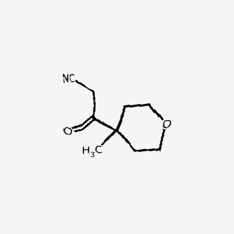 CC1(C(=O)CC#N)CCOCC1